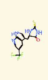 O=C1NC(=S)N/C1=C\c1c[nH]c2ncc(C(F)(F)F)cc12